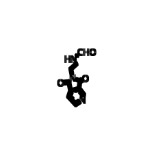 O=CNCCN1C(=O)c2ccncc2C1=O